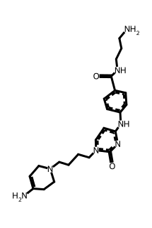 NCCCNC(=O)c1ccc(Nc2ccn(CCCCN3CC=C(N)CC3)c(=O)n2)cc1